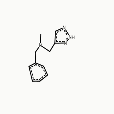 CN(Cc1ccccc1)Cc1cn[nH]n1